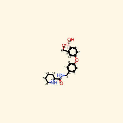 O=C(NCc1ccc(Oc2ccc3c(c2)COB3O)cc1)C1CCCCN1